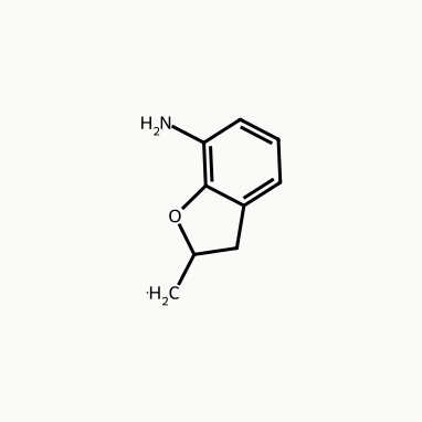 [CH2]C1Cc2cccc(N)c2O1